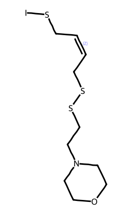 ISC/C=C\CSSCCN1CCOCC1